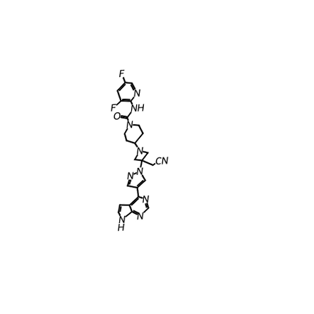 N#CCC1(n2cc(-c3ncnc4[nH]ccc34)cn2)CN(C2CCN(C(=O)Nc3ncc(F)cc3F)CC2)C1